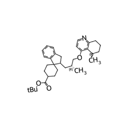 C[C@@H](COc1ccnc2c1[C@H](C)CCC2)CC1Cc2ccccc2C12CCC(C(=O)OC(C)(C)C)CC2